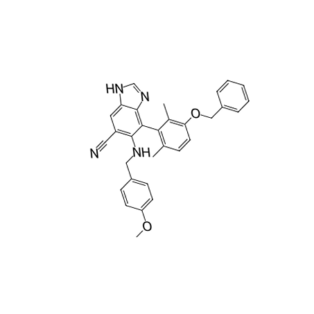 COc1ccc(CNc2c(C#N)cc3[nH]cnc3c2-c2c(C)ccc(OCc3ccccc3)c2C)cc1